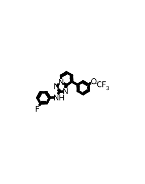 Fc1cccc(Nc2nc3c(-c4cccc(OC(F)(F)F)c4)cccn3n2)c1